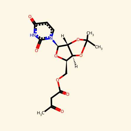 CC(=O)CC(=O)OC[C@H]1O[C@@H](n2ccc(=O)[nH]c2=O)[C@@H]2OC(C)(C)O[C@H]21